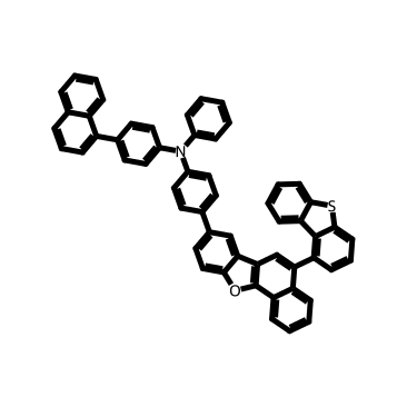 c1ccc(N(c2ccc(-c3ccc4oc5c6ccccc6c(-c6cccc7sc8ccccc8c67)cc5c4c3)cc2)c2ccc(-c3cccc4ccccc34)cc2)cc1